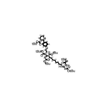 CC(C)(C)OC(=O)/N=C(/NCCCCCCCCN(C(=O)OC(C)(C)C)/C(=N\C(=O)OC(C)(C)C)N(CCOc1ccc(C2=NCCCN2C(=O)OC(C)(C)C)cc1)C(=O)OC(C)(C)C)NC(=O)OC(C)(C)C